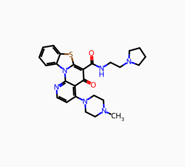 CN1CCN(c2ccnc3c2c(=O)c(C(=O)NCCN2CCCC2)c2sc4ccccc4n23)CC1